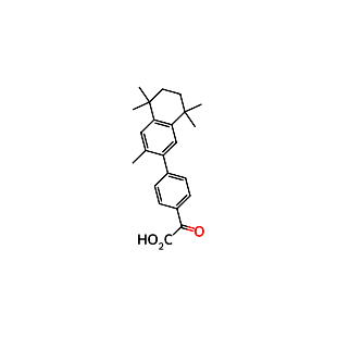 Cc1cc2c(cc1-c1ccc(C(=O)C(=O)O)cc1)C(C)(C)CCC2(C)C